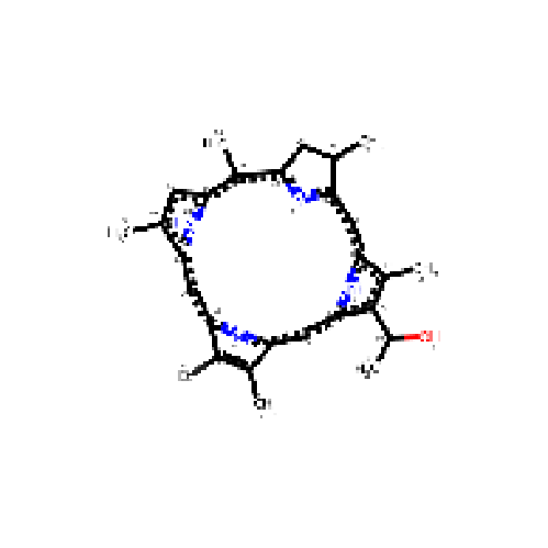 CCC1=C(C)c2cc3[nH]c(cc4nc(c(C)c5cc(C)c(cc1n2)[nH]5)CC4C)c(C)c3C(C)O